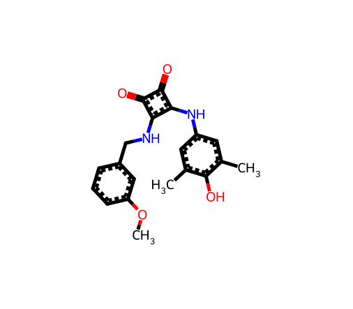 COc1cccc(CNc2c(Nc3cc(C)c(O)c(C)c3)c(=O)c2=O)c1